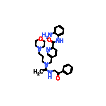 C=C(NCC(=O)c1ccccc1)N(CCCN1CCOCC1)Cc1ccc(C(=O)Nc2ccccc2N)nc1